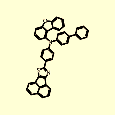 c1ccc(-c2ccc(N(c3ccc(-c4nc5c(s4)-c4cccc6cccc-5c46)cc3)c3cccc4oc5ccccc5c34)cc2)cc1